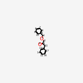 O=C(COCc1ccccc1)Cc1ccccc1